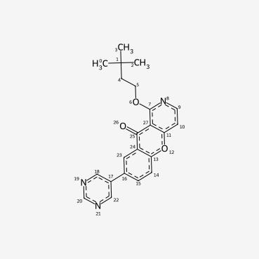 CC(C)(C)CCOc1nccc2oc3ccc(-c4cncnc4)cc3c(=O)c12